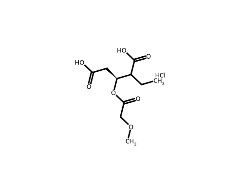 CCC(C(=O)O)[C@H](CC(=O)O)OC(=O)COC.Cl